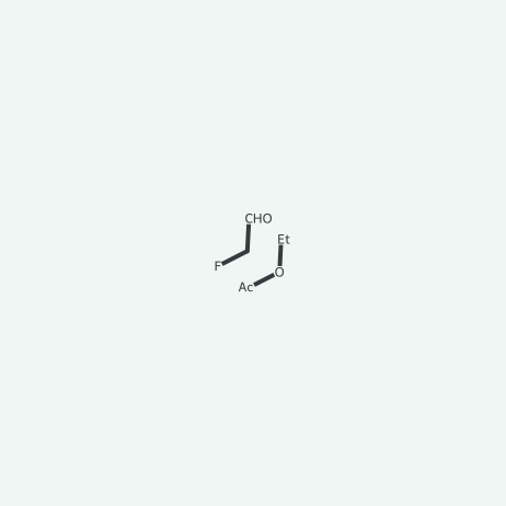 CCOC(C)=O.O=CCF